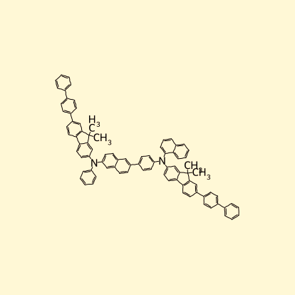 CC1(C)c2cc(-c3ccc(-c4ccccc4)cc3)ccc2-c2ccc(N(c3ccccc3)c3ccc4cc(-c5ccc(N(c6ccc7c(c6)C(C)(C)c6cc(-c8ccc(-c9ccccc9)cc8)ccc6-7)c6cccc7ccccc67)cc5)ccc4c3)cc21